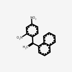 C=C(c1ccc([N+](=O)[O-])cc1[N+](=O)[O-])c1cccc2ccccc12